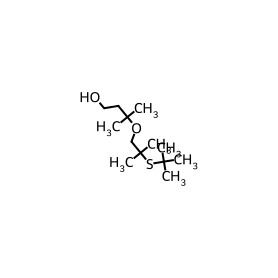 CC(C)(CCO)OCC(C)(C)SC(C)(C)C